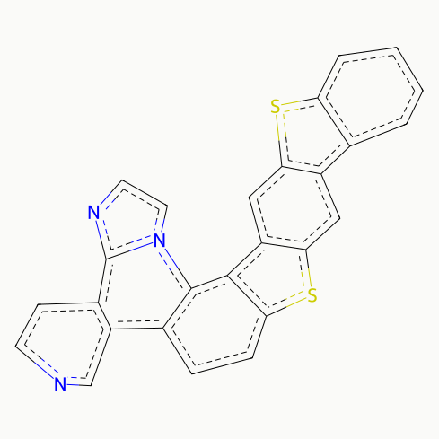 c1ccc2c(c1)sc1cc3c(cc12)sc1ccc2c4cnccc4c4nccn4c2c13